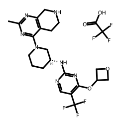 Cc1nc2c(c(N3CCC[C@@H](Nc4ncc(C(F)(F)F)c(OC5COC5)n4)C3)n1)CCNC2.O=C(O)C(F)(F)F